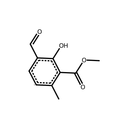 COC(=O)c1c(C)[c]cc(C=O)c1O